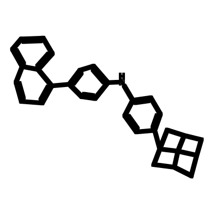 c1ccc2c(-c3ccc(Nc4ccc(C56CC7CC8CC(C5)C876)cc4)cc3)cccc2c1